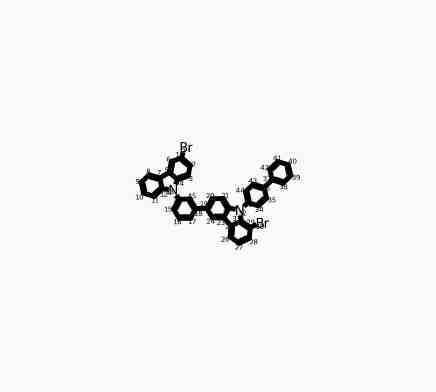 Brc1ccc2c(c1)c1ccccc1n2-c1cccc(-c2ccc3c(c2)c2cccc(Br)c2n3-c2ccc(-c3ccccc3)cc2)c1